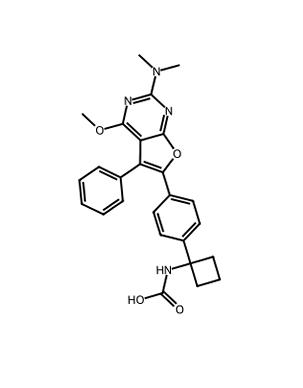 COc1nc(N(C)C)nc2oc(-c3ccc(C4(NC(=O)O)CCC4)cc3)c(-c3ccccc3)c12